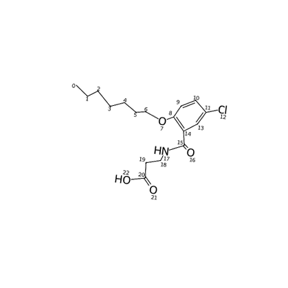 CCCCCCCOc1ccc(Cl)cc1C(=O)NCCC(=O)O